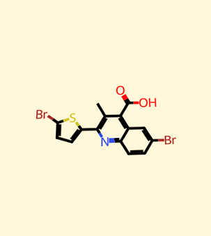 Cc1c(-c2ccc(Br)s2)nc2ccc(Br)cc2c1C(=O)O